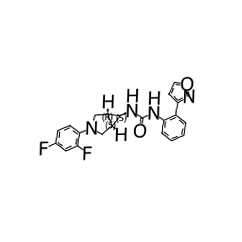 O=C(Nc1ccccc1-c1ccon1)N[C@H]1[C@@H]2CN(c3ccc(F)cc3F)C[C@@H]21